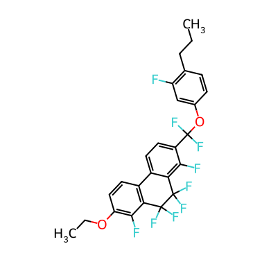 CCCc1ccc(OC(F)(F)c2ccc3c(c2F)C(F)(F)C(F)(F)c2c-3ccc(OCC)c2F)cc1F